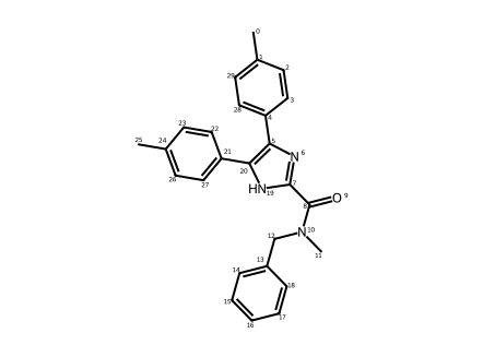 Cc1ccc(-c2nc(C(=O)N(C)Cc3ccccc3)[nH]c2-c2ccc(C)cc2)cc1